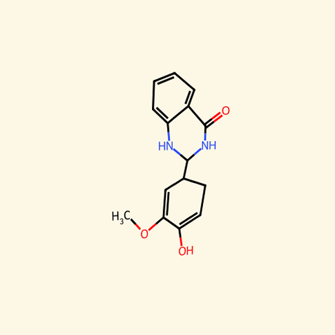 COC1=CC(C2NC(=O)c3ccccc3N2)CC=C1O